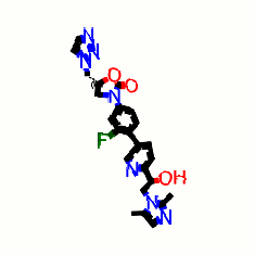 Cc1cnc(C)n1CC(O)c1ccc(-c2ccc(N3C[C@H](Cn4ccnn4)OC3=O)cc2F)cn1